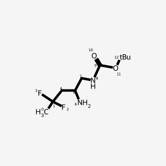 CC(F)(F)CC(N)CNC(=O)OC(C)(C)C